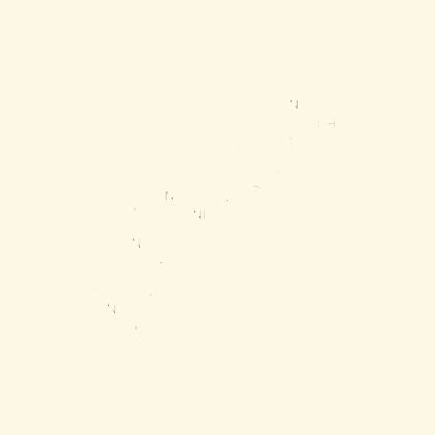 Cc1cc(-c2ccc(CCNc3nccc4nc(-c5ccnc(C)c5)ccc34)cc2)ccn1